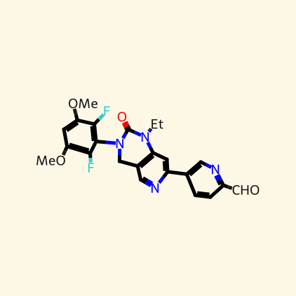 CCN1C(=O)N(c2c(F)c(OC)cc(OC)c2F)Cc2cnc(-c3ccc(C=O)nc3)cc21